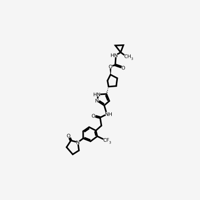 CC1(NC(=O)O[C@H]2CC[C@H](c3cc(NC(=O)Cc4ccc(N5CCCC5=O)cc4C(F)(F)F)n[nH]3)C2)CC1